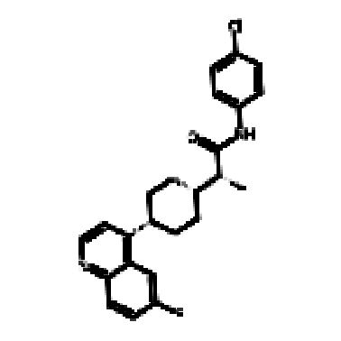 C[C@@H](C(=O)Nc1ccc(Cl)cc1)[C@H]1CC[C@@H](c2ccnc3ccc(F)cc32)CC1